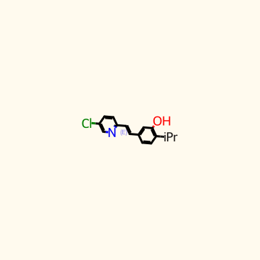 CC(C)c1ccc(/C=C/c2ccc(Cl)cn2)cc1O